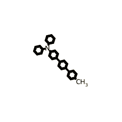 Cc1ccc(-c2ccc(-c3ccc(N(c4ccccc4)c4ccccc4)cc3)cc2)cc1